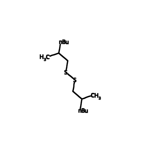 CCCCC(C)CSSCC(C)CCCC